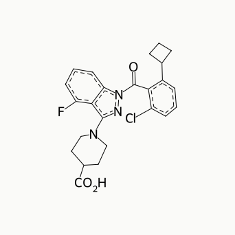 O=C(O)C1CCN(c2nn(C(=O)c3c(Cl)cccc3C3CCC3)c3cccc(F)c23)CC1